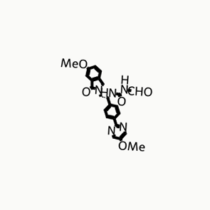 COc1cnc(-c2ccc([C@H](CN3Cc4ccc(OC)cc4C3=O)NC(=O)NC=O)cc2)nc1